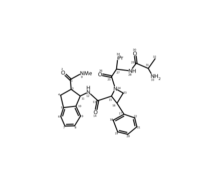 CNC(=O)C1Cc2ccccc2C1NC(=O)C1C(c2ccccc2)CN1C(=O)C(NC(=O)C(C)N)C(C)C